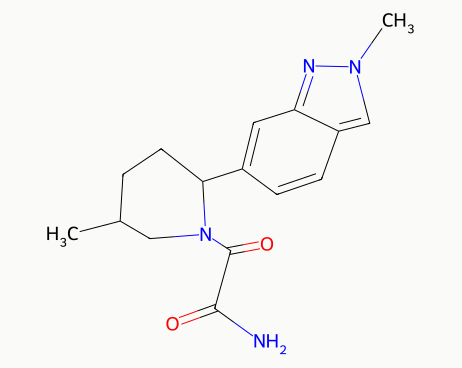 CC1CCC(c2ccc3cn(C)nc3c2)N(C(=O)C(N)=O)C1